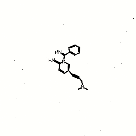 CN(C)CC#Cc1ccc(=N)n(C(=N)c2ccccc2)c1